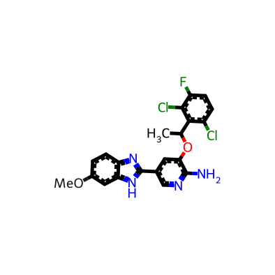 COc1ccc2nc(-c3cnc(N)c(OC(C)c4c(Cl)ccc(F)c4Cl)c3)[nH]c2c1